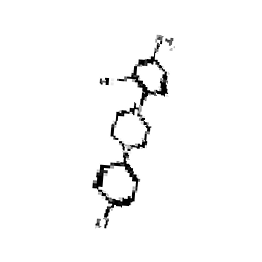 N#Cc1cc(N)ccc1N1CCN(c2ccc(Cl)cc2)CC1